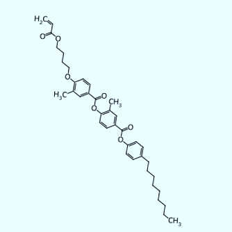 C=CC(=O)OCCCCOc1ccc(C(=O)Oc2ccc(C(=O)Oc3ccc(CCCCCCCCC)cc3)cc2C)cc1C